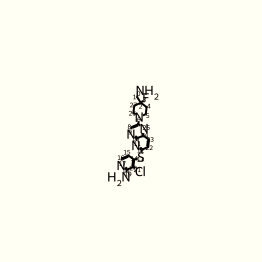 NCC1(F)CCN(c2cnc3nc(Sc4ccnc(N)c4Cl)ccc3n2)CC1